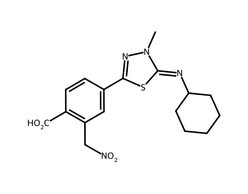 Cn1nc(-c2ccc(C(=O)O)c(C[N+](=O)[O-])c2)sc1=NC1CCCCC1